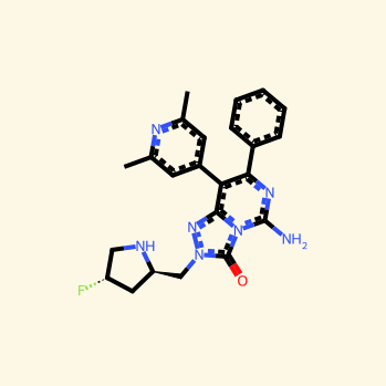 Cc1cc(-c2c(-c3ccccc3)nc(N)n3c(=O)n(C[C@H]4C[C@H](F)CN4)nc23)cc(C)n1